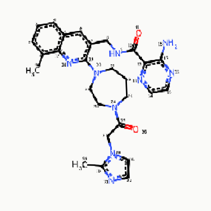 Cc1cccc2cc(CNC(=O)c3nccnc3N)c(N3CCCN(C(=O)Cn4ccnc4C)CC3)nc12